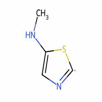 CNc1cn[c]s1